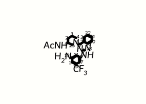 CC(=O)N[C@@H]1CCCN(c2nc(Nc3cc(N)cc(C(F)(F)F)c3)nc3ccccc23)C1